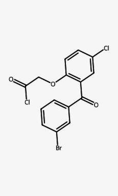 O=C(Cl)COc1ccc(Cl)cc1C(=O)c1cccc(Br)c1